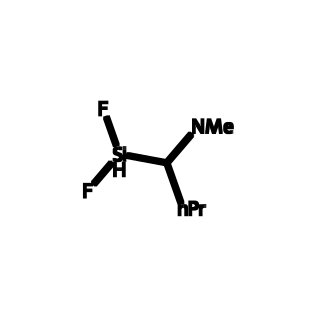 CCCC(NC)[SiH](F)F